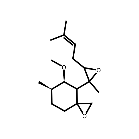 CO[C@H]1C(C2(C)OC2CC=C(C)C)C2(CC[C@H]1C)CO2